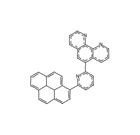 C1=CC2=CC=C3C(c4cccc(-c5cc6cccnc6c6ncccc56)n4)=CC=C4C=CC(=C1)C2C43